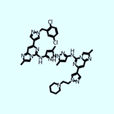 Cc1cn2c(Nc3cc(C)[nH]n3)nc(-c3cnn(CCN4CCCCC4)c3)cc2n1.Cc1cn2c(Nc3cc(C)[nH]n3)nc(-c3cnn(Cc4cc(Cl)ccc4Cl)c3)cc2n1